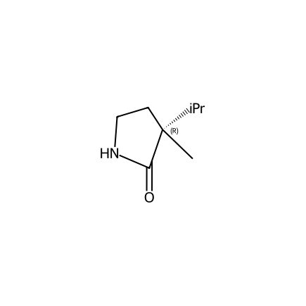 CC(C)[C@@]1(C)CCNC1=O